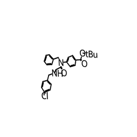 CC(C)(C)OC(=O)c1ccc(N(Cc2ccccc2)C(=O)CNCc2ccc(Cl)cc2)cc1